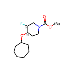 CC(C)(C)OC(=O)N1CC[C@@H](OC2CCCCCC2)[C@@H](F)C1